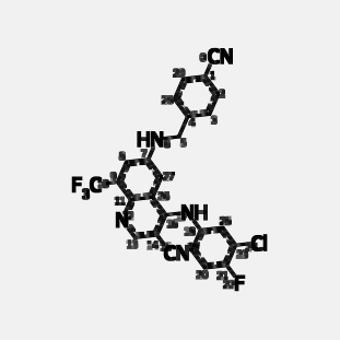 N#Cc1ccc(CNc2cc(C(F)(F)F)c3ncc(C#N)c(Nc4ccc(F)c(Cl)c4)c3c2)cc1